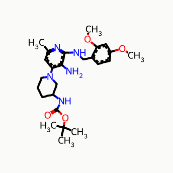 COc1ccc(CNc2nc(C)cc(N3CCCC(NC(=O)OC(C)(C)C)C3)c2N)c(OC)c1